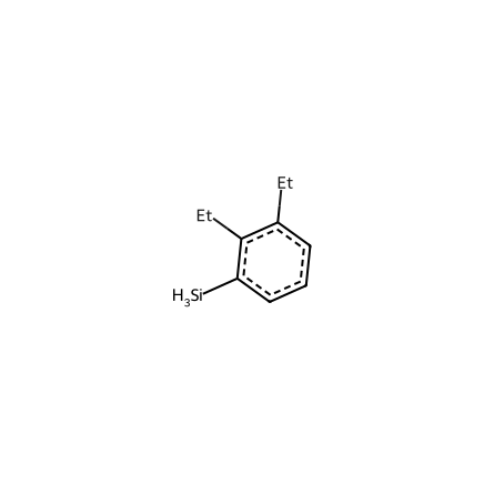 CCc1cccc([SiH3])c1CC